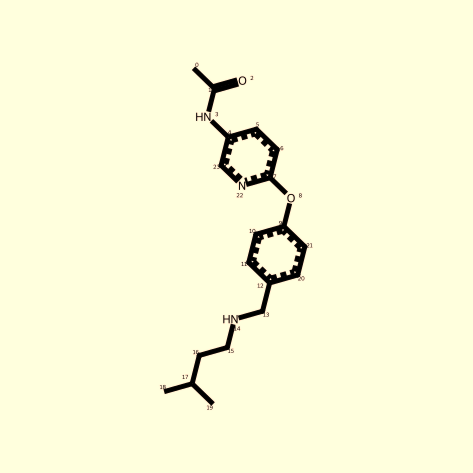 CC(=O)Nc1ccc(Oc2ccc(CNCCC(C)C)cc2)nc1